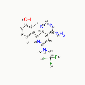 Cc1ccc(O)c(C)c1-c1nc(N(C)CC(F)(F)F)cc2c(N)ncnc12